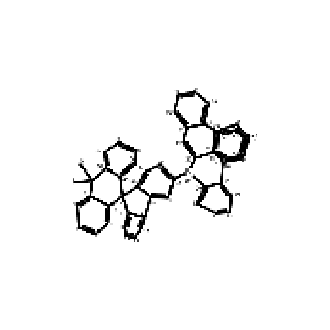 CC1(C)c2ccccc2C2(c3ccccc3-c3cc(N(c4ccccc4-c4ccccc4)c4cc5ccccc5c5ccccc45)ccc32)c2ccccc21